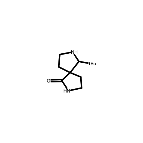 CC(C)(C)C1NCCC12CCNC2=O